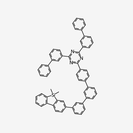 C[Si]1(C)c2ccccc2-c2ccc(-c3cccc(-c4cccc(-c5ccc(-c6nc(-c7cccc(-c8ccccc8)c7)nc(-c7cccc(-c8ccccc8)c7)n6)cc5)c4)c3)cc21